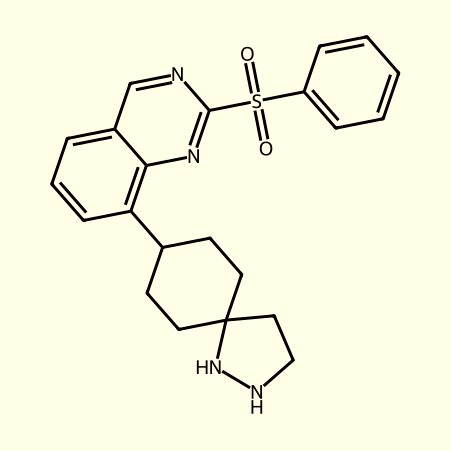 O=S(=O)(c1ccccc1)c1ncc2cccc(C3CCC4(CCNN4)CC3)c2n1